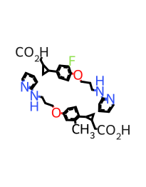 Cc1cc(OCCCNc2ccccn2)ccc1C1CC1CC(=O)O.O=C(O)CC1CC1c1ccc(OCCCNc2ccccn2)c(F)c1